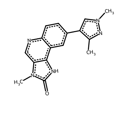 Cc1nn(C)cc1-c1ccc2ncc3c([nH]c(=O)n3C)c2c1